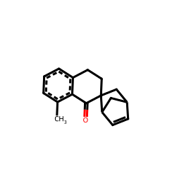 Cc1cccc2c1C(=O)C1(CC2)CC2C=CC1C2